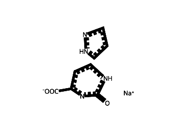 O=C([O-])c1cc[nH]c(=O)n1.[Na+].c1cn[nH]c1